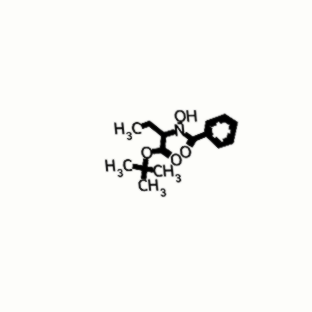 CCC(C(=O)OC(C)(C)C)N(O)C(=O)c1ccccc1